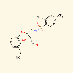 N#CCc1cccc(O[C@H]2CN(S(=O)(=O)c3ccc(C(F)(F)F)cc3C#N)C[C@@]2(O)CO)c1